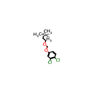 C[Si](C)(C)CCOCOc1ccc(Cl)c(Cl)c1